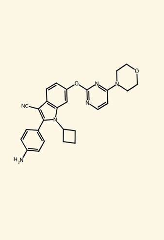 N#Cc1c(-c2ccc(N)cc2)n(C2CCC2)c2cc(Oc3nccc(N4CCOCC4)n3)ccc12